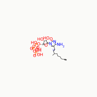 C#CCCCCC(C)/C=C/c1cn([C@@H]2O[C@H](COP(=O)(O)OP(=O)(O)OP(=O)(O)O)C(O)C2O)c(=O)nc1N